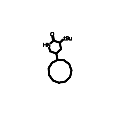 CC(C)(C)C1CC(C2CCCCCCCCCC2)CNC1=O